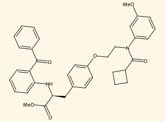 COC(=O)[C@H](Cc1ccc(OCCN(C(=O)C2CCC2)c2cccc(OC)c2)cc1)Nc1ccccc1C(=O)c1ccccc1